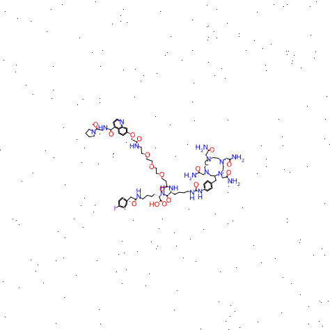 NC(=O)CN1CCN(CC(N)=O)CCN(CC(N)=O)C(Cc2ccc(NC(=O)NCCCC[C@H](NC(=O)CCOCCOCCOCCNC(=O)COc3ccc4c(C(=O)NCC(=O)N5CCCC5)ccnc4c3)C(=O)N[C@@H](CCCCNC(=O)Cc3ccc(I)cc3)C(=O)O)cc2)CN(CC(N)=O)CC1